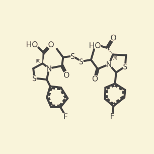 CC(SSC(C)C(=O)N1C(c2ccc(F)cc2)SC[C@H]1C(=O)O)C(=O)N1C(c2ccc(F)cc2)SC[C@H]1C(=O)O